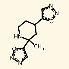 CC1(c2cnno2)CC(c2cnno2)CCN1